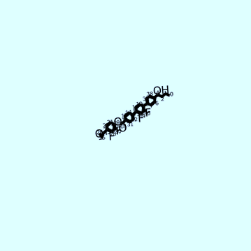 CCCC(O)c1ccc(-c2ccc(-c3ccc(C(=O)Oc4ccc(C5CO5)c(F)c4F)cc3)c(F)c2F)cc1